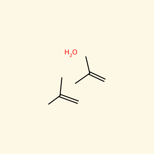 C=C(C)C.C=C(C)C.O